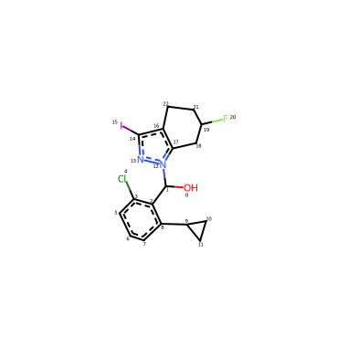 OC(c1c(Cl)cccc1C1CC1)n1nc(I)c2c1CC(F)CC2